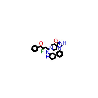 O=C(c1ccccc1)C(F)CC(NC1CCCCC1)N1CCC2(CC1)C(=O)NCN2c1ccccc1